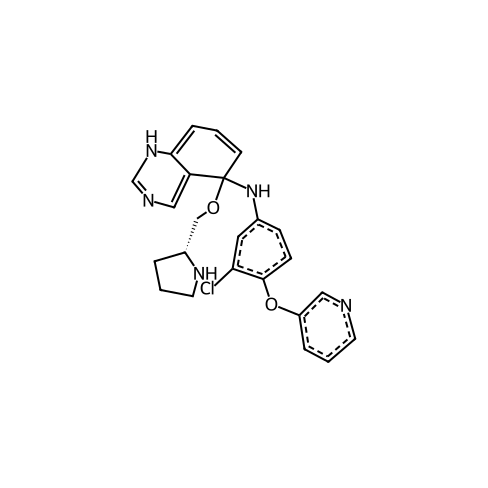 Clc1cc(NC2(OC[C@H]3CCCN3)C=CC=C3NC=NC=C32)ccc1Oc1cccnc1